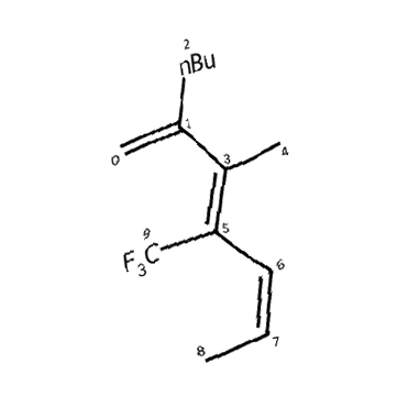 C=C(CCCC)/C(C)=C(/C=C\C)C(F)(F)F